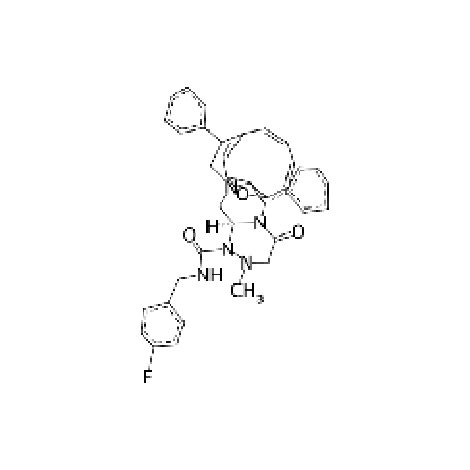 CN1CC(=O)N2[C@@H](c3ccccc3)C34C5C=C(/C=C\C=C/C3O5)C(c3ccccc3)CN4C[C@@H]2N1C(=O)NCc1ccc(F)cc1